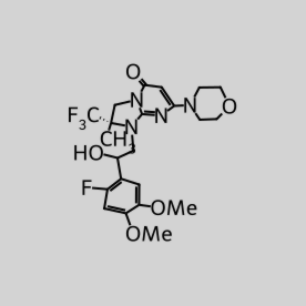 COc1cc(F)c(C(O)CN2c3nc(N4CCOCC4)cc(=O)n3C[C@@]2(C)C(F)(F)F)cc1OC